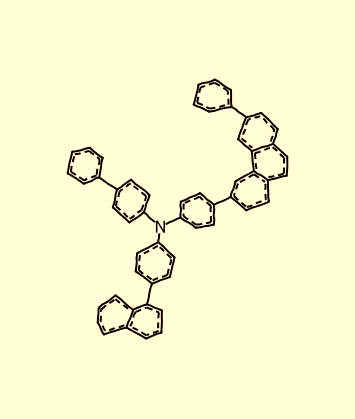 c1ccc(-c2ccc(N(c3ccc(-c4ccc5ccc6ccc(-c7ccccc7)cc6c5c4)cc3)c3ccc(-c4cccc5ccccc45)cc3)cc2)cc1